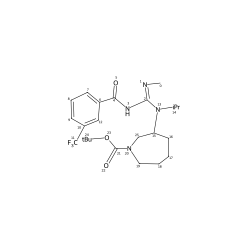 C/N=C(/NC(=O)c1cccc(C(F)(F)F)c1)N(C(C)C)C1CCCCN(C(=O)OC(C)(C)C)C1